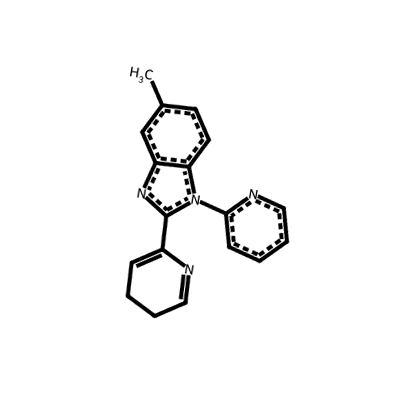 Cc1ccc2c(c1)nc(C1=CCCC=N1)n2-c1ccccn1